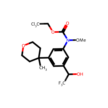 CON(C(=O)OCC(Cl)(Cl)Cl)c1cc(C(O)C(F)(F)F)cc(C2(C)CCOCC2)c1